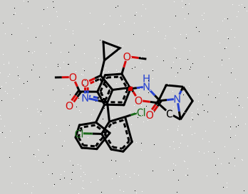 COC(=O)c1cc(OC)c(NC(=O)N2C3CC(OCc4c(-c5c(Cl)cccc5Cl)noc4C4CC4)CC2C3)cc1-c1ccccc1